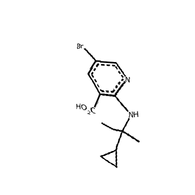 CC(C)(Nc1ncc(Br)cc1C(=O)O)C1CC1